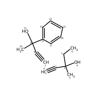 C#CC(C)(O)CC.C#CC(C)(O)c1ccccc1